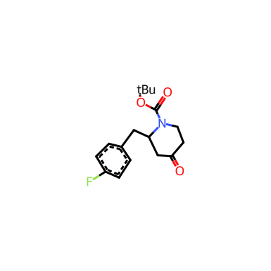 CC(C)(C)OC(=O)N1CCC(=O)CC1Cc1ccc(F)cc1